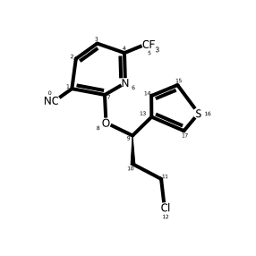 N#Cc1ccc(C(F)(F)F)nc1O[C@H](CCCl)c1ccsc1